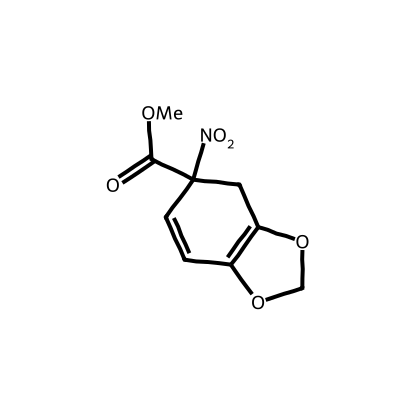 COC(=O)C1([N+](=O)[O-])C=CC2=C(C1)OCO2